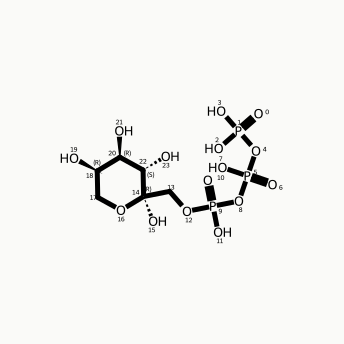 O=P(O)(O)OP(=O)(O)OP(=O)(O)OC[C@@]1(O)OC[C@@H](O)[C@@H](O)[C@@H]1O